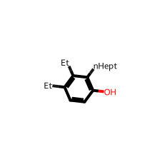 CCCCCCCc1c(O)ccc(CC)c1CC